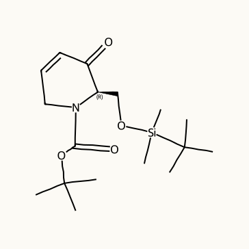 CC(C)(C)OC(=O)N1CC=CC(=O)[C@H]1CO[Si](C)(C)C(C)(C)C